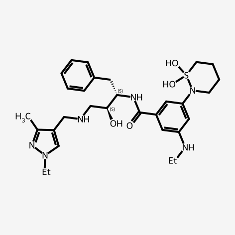 CCNc1cc(C(=O)N[C@@H](Cc2ccccc2)[C@@H](O)CNCc2cn(CC)nc2C)cc(N2CCCCS2(O)O)c1